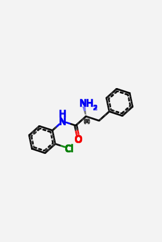 N[C@H](Cc1ccccc1)C(=O)Nc1ccccc1Cl